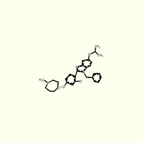 CC(C)Oc1ccc2c(c1)nc(-c1ccc(O[C@@H]3CCCN(C)CC3)cc1Cl)n2Cc1ccccc1